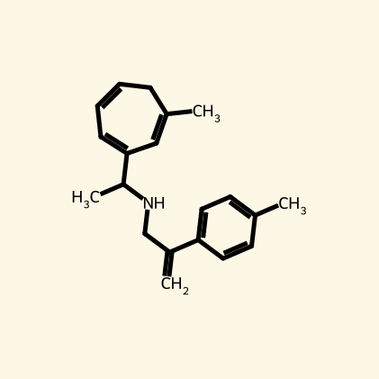 C=C(CNC(C)C1=CC=CCC(C)=C1)c1ccc(C)cc1